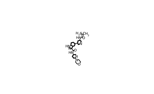 CN(C)C(=O)Nc1cncc(-c2ccc3[nH]nc(C(=O)Nc4ccc(N5CCOCC5)nc4)c3c2)c1